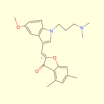 COc1ccc2c(c1)c(/C=C1\Oc3cc(C)cc(C)c3C1=O)cn2CCCN(C)C